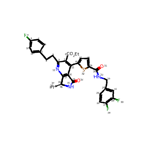 CCOC(=O)c1c(CCc2ccc(F)cc2)nc2c(c1-c1ccc(C(=O)NCc3ccc(F)c(F)c3)s1)C(=O)N[C@H]2C(C)C